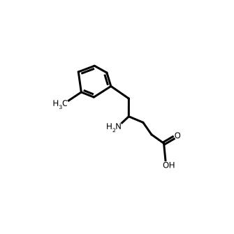 Cc1cccc(CC(N)CCC(=O)O)c1